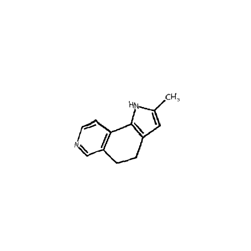 Cc1cc2c([nH]1)-c1ccncc1CC2